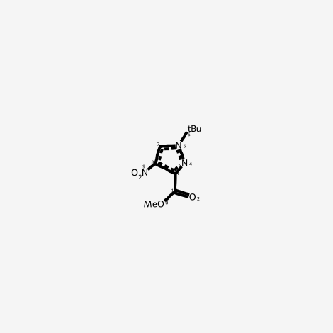 COC(=O)c1nn(C(C)(C)C)cc1[N+](=O)[O-]